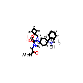 CNC(=O)CN1C[C@]2(CC[C@](c3ccccc3)(N(C)C)CC2)N(CC2(O)CCC2)C1O